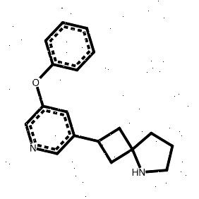 c1ccc(Oc2cncc(C3CC4(CCCN4)C3)c2)cc1